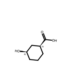 O=C(O)[C@H]1CCC[C@@H](O)C1